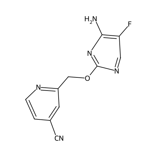 N#Cc1ccnc(COc2ncc(F)c(N)n2)c1